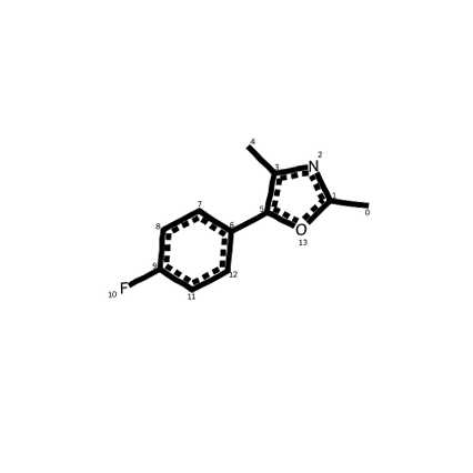 Cc1nc(C)c(-c2ccc(F)cc2)o1